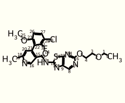 CCOCCOc1ncc2nc(NC(=O)c3cnc(C)cc3-c3c(OC)ccc(Cl)c3F)sc2n1